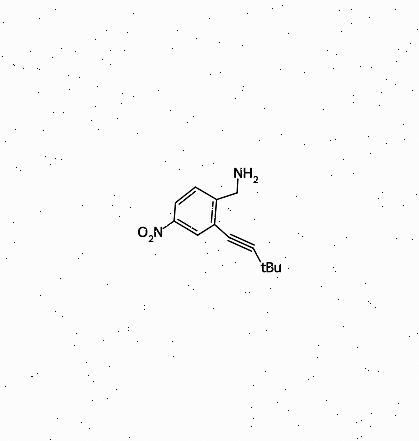 CC(C)(C)C#Cc1cc([N+](=O)[O-])ccc1CN